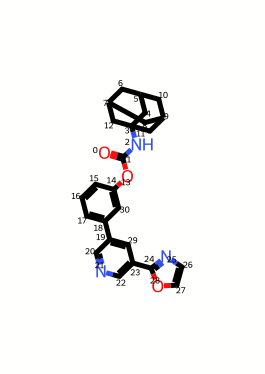 O=C(NC12CC3CC(CC(C3)C1)C2)Oc1cccc(-c2cncc(-c3ncco3)c2)c1